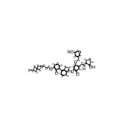 N#Cc1cncc(COc2cc(O[C@H]3CCc4c(-c5cccc(OCCCN6CC7(CC(F)C7)C6)c5Cl)cccc43)c(Cl)cc2CN[C@@H]2CCC[C@@H]2O)c1